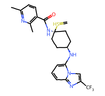 C=[SH][C@]1(NC(=O)c2ccc(C)nc2C)CC[C@H](Nc2cccc3nc(C(F)(F)F)cn23)CC1